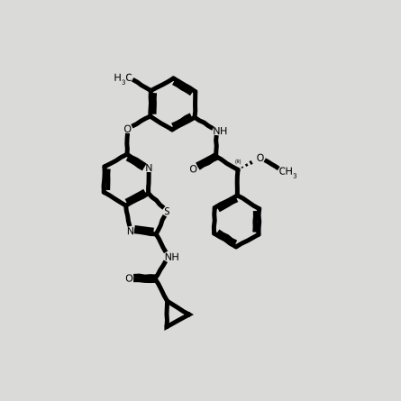 CO[C@@H](C(=O)Nc1ccc(C)c(Oc2ccc3nc(NC(=O)C4CC4)sc3n2)c1)c1ccccc1